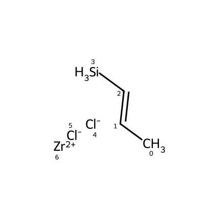 CC=C[SiH3].[Cl-].[Cl-].[Zr+2]